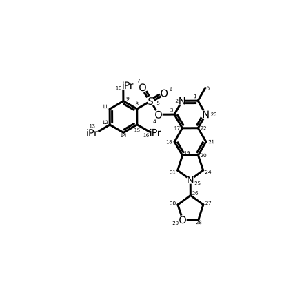 Cc1nc(OS(=O)(=O)c2c(C(C)C)cc(C(C)C)cc2C(C)C)c2cc3c(cc2n1)CN(C1CCOC1)C3